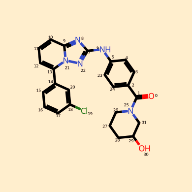 O=C(c1ccc(Nc2nc3cccc(-c4cccc(Cl)c4)n3n2)cc1)N1CCCC(O)C1